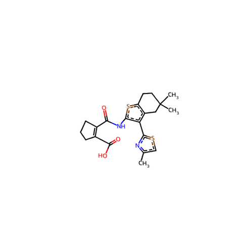 Cc1csc(-c2c(NC(=O)C3=C(C(=O)O)CCC3)sc3c2CC(C)(C)CC3)n1